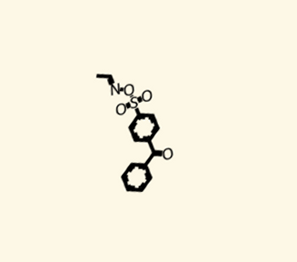 CC=NOS(=O)(=O)c1ccc(C(=O)c2ccccc2)cc1